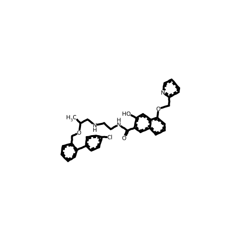 CC(CNCCNC(=O)c1cc2cccc(OCc3ccccn3)c2cc1O)OCc1ccccc1-c1ccc(Cl)cc1